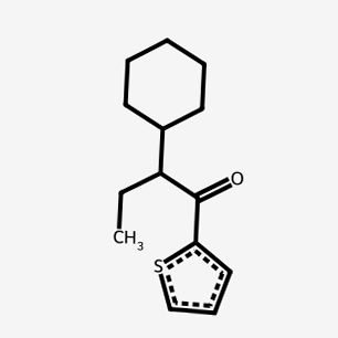 CCC(C(=O)c1cccs1)C1CCCCC1